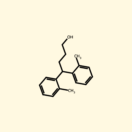 Cc1ccccc1C(CCCO)c1ccccc1C